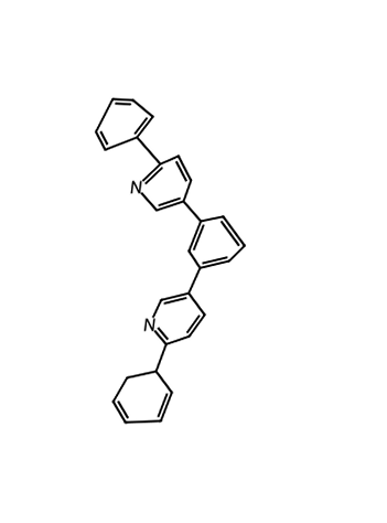 C1=CCC(c2ccc(-c3cccc(-c4ccc(-c5ccccc5)nc4)c3)cn2)C=C1